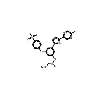 COC[C@H](C)Oc1cc(Oc2ccc(S(C)(=O)=O)cc2)cc(-c2ccc(-c3cnc(C)cn3)[nH]2)c1